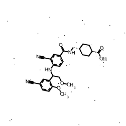 COCC(Nc1ccc(C(=O)NC[C@H]2CC[C@H](C(=O)O)CC2)cc1C#N)c1cc(C#N)ccc1OC